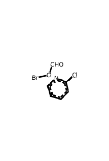 Clc1ccccn1.O=COBr